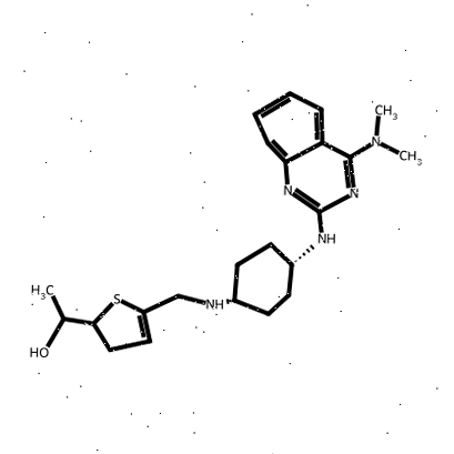 CC(O)C1CC=C(CN[C@H]2CC[C@@H](Nc3nc(N(C)C)c4ccccc4n3)CC2)S1